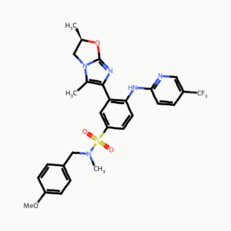 COc1ccc(CN(C)S(=O)(=O)c2ccc(Nc3ccc(C(F)(F)F)cn3)c(-c3nc4n(c3C)C[C@@H](C)O4)c2)cc1